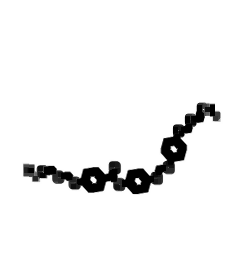 C=COCOc1ccc(OCOc2ccc(OC(=O)c3ccc(OCOC=C)cc3)cc2)cc1